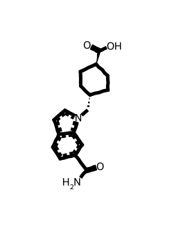 NC(=O)c1ccc2ccn(C[C@H]3CC[C@H](C(=O)O)CC3)c2c1